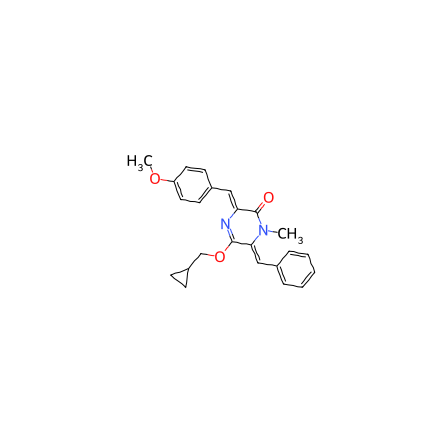 COc1ccc(C=c2nc(OCC3CC3)c(=Cc3ccccc3)n(C)c2=O)cc1